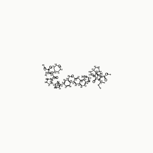 CC[C@H](C)[C@H](NC(=O)OC)C(=O)N1[C@H](c2nc3ccc4cc5c(cc4c3[nH]2)OCc2cc(-c3cnc([C@@H]4CC[C@H](C)N4C(=O)[C@@H](NC(=O)OC)C4CCOCC4)[nH]3)ccc2-5)CC2CCC[C@@H]21